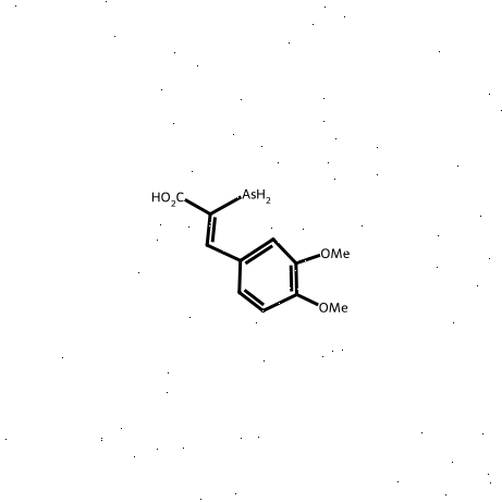 COc1ccc(C=C([AsH2])C(=O)O)cc1OC